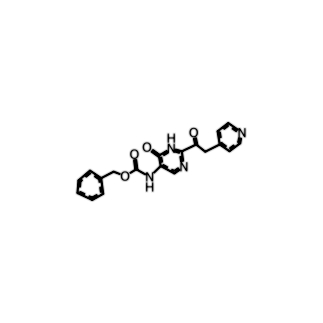 O=C(Nc1cnc(C(=O)Cc2ccncc2)[nH]c1=O)OCc1ccccc1